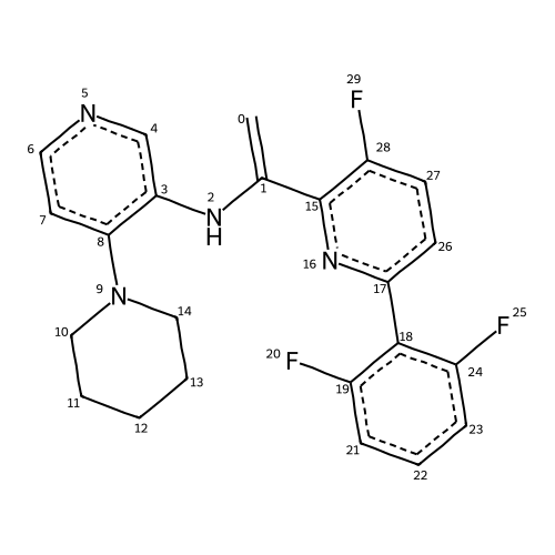 C=C(Nc1cnccc1N1CCCCC1)c1nc(-c2c(F)cccc2F)ccc1F